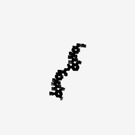 CC(=O)Nc1ncc(S(=O)(=O)NC(=O)Nc2c(C(C)C)cccc2C(C)CCC(=O)Nc2ncc(S(=O)(=O)NC(=O)Nc3c(C(C)C)cc(F)cc3C(C)C)cn2)cn1